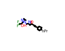 CCCc1ccc(C#Cc2cc(Cn3ccnc3C(O)C(F)F)no2)cc1